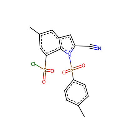 Cc1ccc(S(=O)(=O)n2c(C#N)cc3cc(C)cc(S(=O)(=O)Cl)c32)cc1